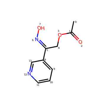 CC(=O)OCC(=NO)c1cccnc1